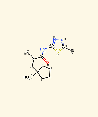 CCCC(CC1(C(=O)O)CCCC1)C(=O)Nc1nnc(CC)s1